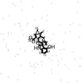 CCC1CN2CC[C@@]3(C(=O)Nc4cccc(O)c43)[C@@H]2C[C@@H]1/C(=C\OC)C(=O)OC